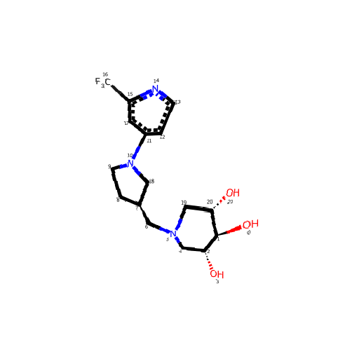 O[C@H]1[C@H](O)CN(C[C@H]2CCN(c3ccnc(C(F)(F)F)c3)C2)C[C@@H]1O